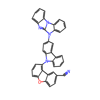 N#Cc1ccc2oc3cccc(-n4c5ccccc5c5cc(-n6c7ccccc7n7c8ccccc8nc67)ccc54)c3c2c1